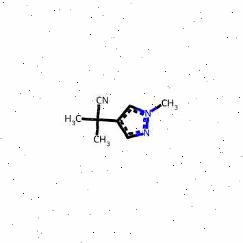 Cn1cc(C(C)(C)C#N)cn1